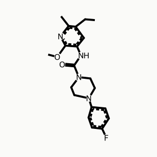 CCc1cc(NC(=O)N2CCN(c3ccc(F)cc3)CC2)c(OC)nc1C